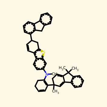 CN(C1=C(C2(C)C=C3C(=CC2)C(C)(C)c2ccccc23)C=CCC1)c1ccc2c3c(sc2c1)CC(c1cccc2c1Cc1ccccc1-2)C=C3